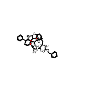 COC(=O)c1nc2oc1C13c4cc(ccc4OC1Nc1c(-c4ccccc4)cccc13)C[C@H](NC(=O)OCc1ccccc1)C(=O)N[C@H]2C(C)C